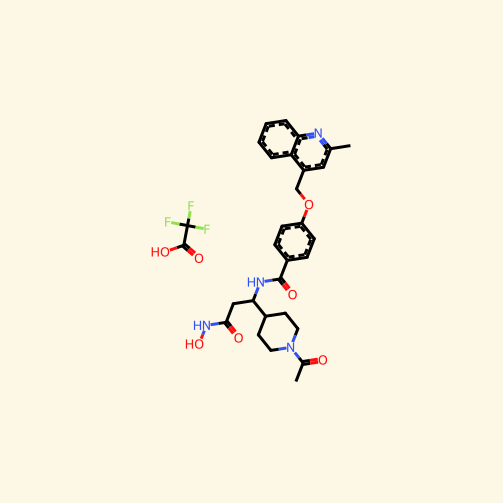 CC(=O)N1CCC(C(CC(=O)NO)NC(=O)c2ccc(OCc3cc(C)nc4ccccc34)cc2)CC1.O=C(O)C(F)(F)F